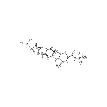 CC1CN(C(=O)OC(C)(C)C)CC(C)C1Oc1cncc(Nc2cc(OC(F)F)[nH]n2)n1